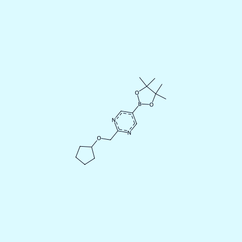 CC1(C)OB(c2cnc(COC3CCCC3)nc2)OC1(C)C